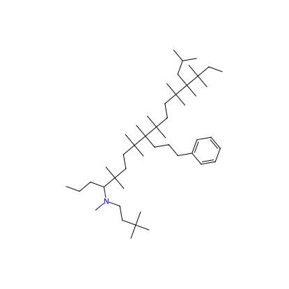 CCCC(N(C)CCC(C)(C)C)C(C)(C)CCC(C)(C)C(C)(CCCc1ccccc1)C(C)(C)CCC(C)(C)C(C)(CC(C)C)C(C)(C)CC